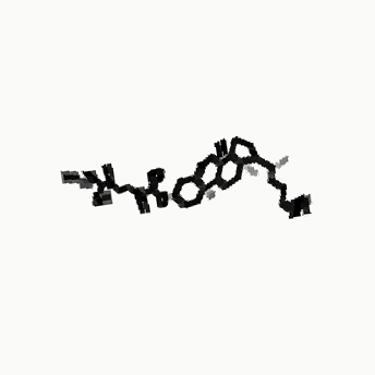 CC(C)CCC[C@@H](C)C1CCC2[C@@H]3CC=C4C[C@@H](OC(=O)NCCNC(=N)N)CC[C@]4(C)C3CC[C@@]21C